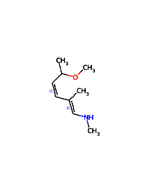 CN/C=C(C)/C=C\C(C)OC